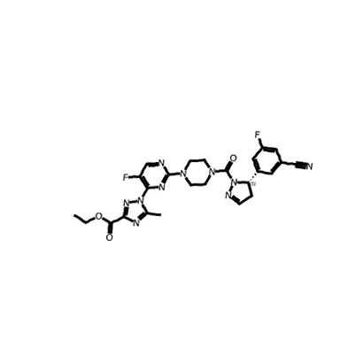 CCOC(=O)c1nc(C)n(-c2nc(N3CCN(C(=O)N4N=CC[C@H]4c4cc(F)cc(C#N)c4)CC3)ncc2F)n1